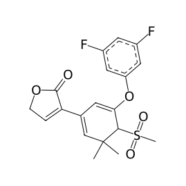 CC1(C)C=C(C2=CCOC2=O)C=C(Oc2cc(F)cc(F)c2)C1S(C)(=O)=O